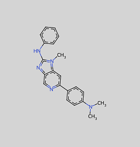 CN(C)c1ccc(-c2cc3c(cn2)nc(Nc2ccccc2)n3C)cc1